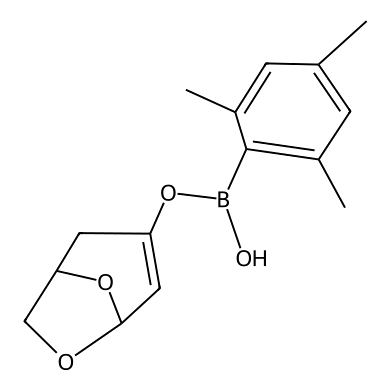 Cc1cc(C)c(B(O)OC2=CC3OCC(C2)O3)c(C)c1